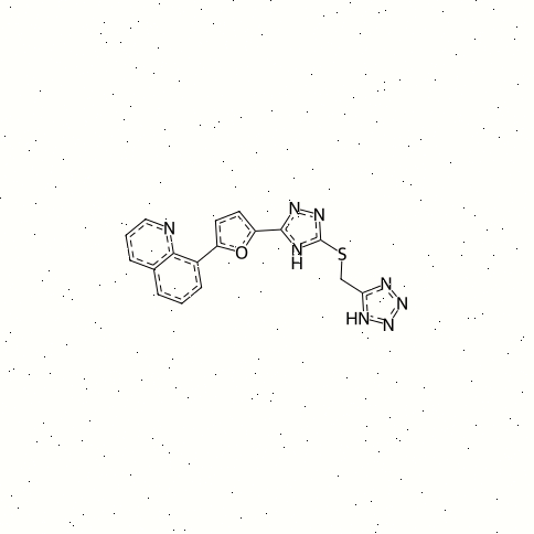 c1cnc2c(-c3ccc(-c4nnc(SCc5nnn[nH]5)[nH]4)o3)cccc2c1